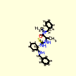 CC(NC(=S)N[C@H]1CCCC[C@@H]1NCc1ccccc1)C(=O)N(C)Cc1ccccc1